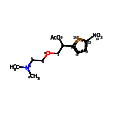 CC(=O)OC(COCCN(C)C)c1ccc([N+](=O)[O-])s1